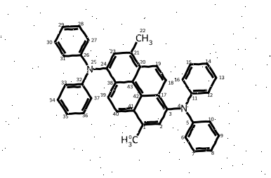 Cc1cc(N(c2ccccc2)c2ccccc2)c2ccc3c(C)cc(N(c4ccccc4)c4ccccc4)c4ccc1c2c34